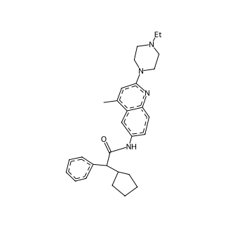 CCN1CCN(c2cc(C)c3cc(NC(=O)C(c4ccccc4)C4CCCC4)ccc3n2)CC1